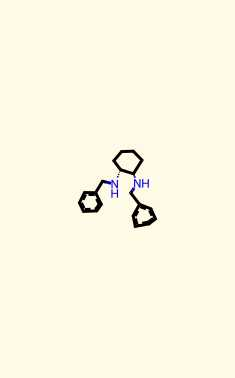 c1ccc(CN[C@H]2CCCC[C@H]2NCc2ccccc2)cc1